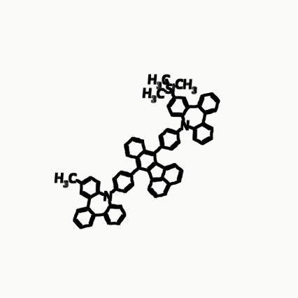 Cc1ccc2c(c1)-c1ccccc1-c1ccccc1N2c1ccc(-c2c3c(c(-c4ccc(N5c6ccccc6-c6ccccc6-c6cc([Si](C)(C)C)ccc65)cc4)c4ccccc24)-c2cccc4cccc-3c24)cc1